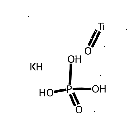 O=P(O)(O)O.[KH].[O]=[Ti]